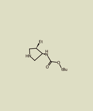 CC[C@@H]1CNC[C@@H]1NC(=O)OC(C)(C)C